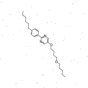 CCCCCCc1ccc(-c2ncc(OCCCCOCCCCC)cn2)cc1